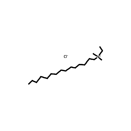 CCCCCCCCCCCCCCC[N+](C)(C)CC.[Cl-]